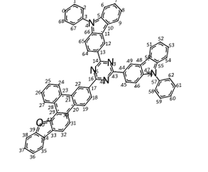 c1ccc(-n2c3ccccc3c3cc(-c4nc(-c5ccc6c(c5)c5ccccc5c5c6ccc6c7ccccc7oc65)nc(-c5ccc6c(c5)c5ccccc5n6-c5ccccc5)n4)ccc32)cc1